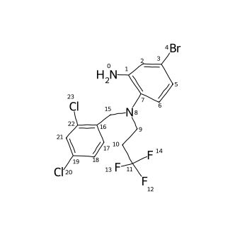 Nc1cc(Br)ccc1N(CCC(F)(F)F)Cc1ccc(Cl)cc1Cl